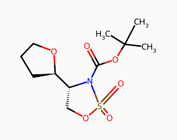 CC(C)(C)OC(=O)N1[C@@H]([C@H]2CCCO2)COS1(=O)=O